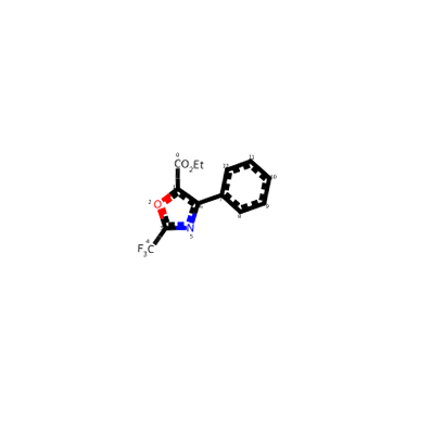 CCOC(=O)c1oc(C(F)(F)F)nc1-c1ccccc1